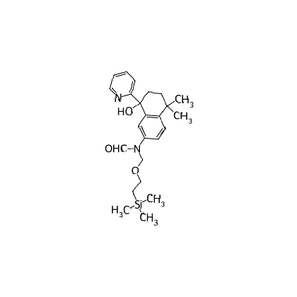 CC1(C)CCC(O)(c2ccccn2)c2cc(N(C=O)COCC[Si](C)(C)C)ccc21